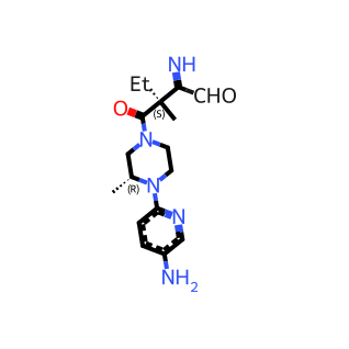 CC[C@@](C)(C(=N)C=O)C(=O)N1CCN(c2ccc(N)cn2)[C@H](C)C1